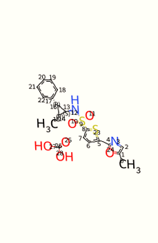 Cc1cnc(-c2ccc(S(=O)(=O)N[C@H]3[C@H](C)[C@@H]3c3ccccc3)s2)o1.O=C(O)O